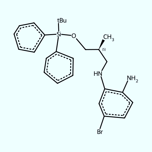 C[C@@H](CNc1cc(Br)ccc1N)CO[Si](c1ccccc1)(c1ccccc1)C(C)(C)C